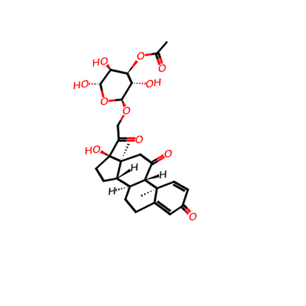 CC(=O)O[C@H]1[C@H](O)[C@@H](OCC(=O)[C@@]2(O)CC[C@H]3[C@@H]4CCC5=CC(=O)C=C[C@]5(C)[C@H]4C(=O)C[C@@]32C)O[C@H](O)[C@H]1O